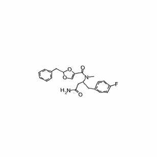 CN(C(=O)C1=COC(Cc2ccccc2)O1)C(CC(N)=O)Cc1ccc(F)cc1